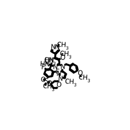 CNC1(c2c(F)cc(S(C)(=O)=O)cc2F)N=C(N(Cc2ccc(OC)cc2)c2cc(C)n(C3CCCCO3)n2)C(OC)=C(c2cnn(C)c2)N1